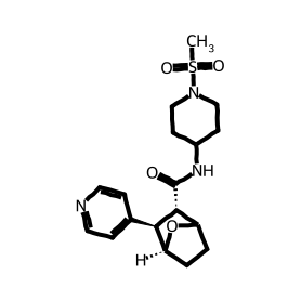 CS(=O)(=O)N1CCC(NC(=O)[C@@H]2C3CC[C@H](O3)[C@H]2c2ccncc2)CC1